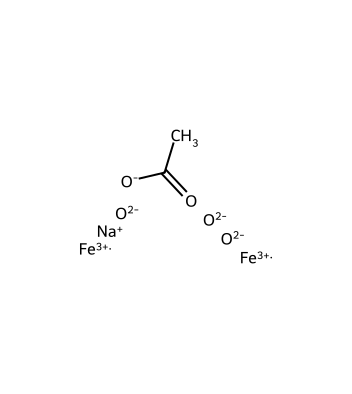 CC(=O)[O-].[Fe+3].[Fe+3].[Na+].[O-2].[O-2].[O-2]